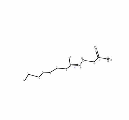 CCCCCCC/C(C)=N/OCC(N)=O